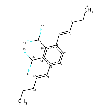 CCC/C=C/c1ccc(/C=C/CCC)c(C(F)F)c1C(F)F